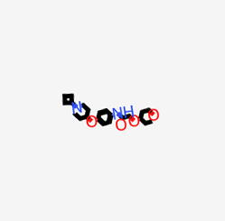 O=C(COC1CCOCC1)Nc1ccc(OC2CCN(C3CCC3)CC2)cc1